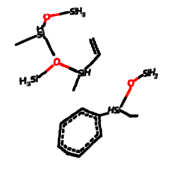 C=C[SiH](C)O[SiH3].C[SiH](C)O[SiH3].C[SiH](O[SiH3])c1ccccc1